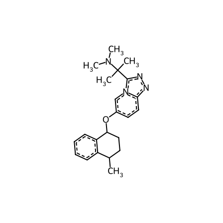 CC1CCC(Oc2ccc3nnc(C(C)(C)N(C)C)n3c2)c2ccccc21